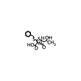 C[C@H](O)[C@@H]1C(=O)N2C(C(=O)O)=C(SCc3ccccc3)S[C@H]12